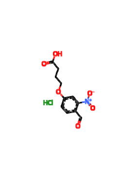 Cl.O=Cc1ccc(OCCCC(=O)O)cc1[N+](=O)[O-]